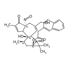 CC1=CC2[C@]3(O)C(C=C(CO)C[C@]2(N=O)C1=O)[C@@H]1C(C)(C)[C@]1(OC(=O)Cc1ccc2ccccc2c1)C[C@H]3C